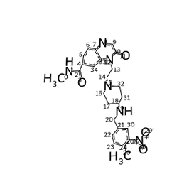 CNC(=O)c1ccc2ncc(=O)n(CCN3CCC(NCc4ccc(C)c([N+](=O)[O-])c4)CC3)c2c1